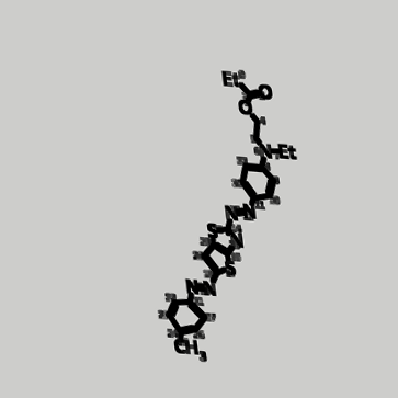 CCC(=O)OCCN(CC)c1ccc(N=Nc2nc3sc(N=Nc4ccc(C)cc4)cc3s2)cc1